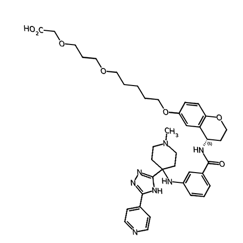 CN1CCC(Nc2cccc(C(=O)N[C@H]3CCOc4ccc(OCCCCCOCCCOCC(=O)O)cc43)c2)(c2nnc(-c3ccncc3)[nH]2)CC1